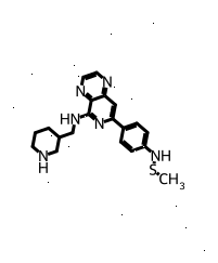 CSNc1ccc(-c2cc3nccnc3c(NCC3CCCNC3)n2)cc1